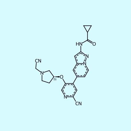 N#CCN1CC[C@H](Oc2cnc(C#N)cc2-c2ccn3nc(NC(=O)C4CC4)cc3c2)C1